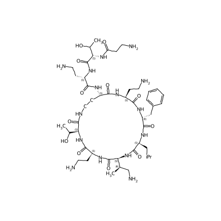 CC(C)C[C@@H]1NC(=O)[C@@H](Cc2ccccc2)NC(=O)[C@H](CCN)NC(=O)[C@@H](NC(=O)[C@H](CCN)NC(=O)[C@@H](NC(=O)CCN)C(C)O)CCNC(=O)[C@H](C(C)O)NC(=O)[C@H](CCN)NC(=O)[C@H]([C@H](C)CN)NC1=O